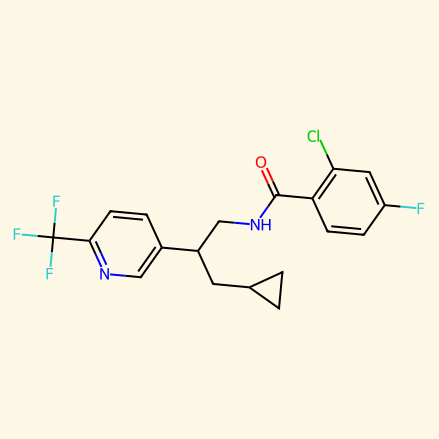 O=C(NCC(CC1CC1)c1ccc(C(F)(F)F)nc1)c1ccc(F)cc1Cl